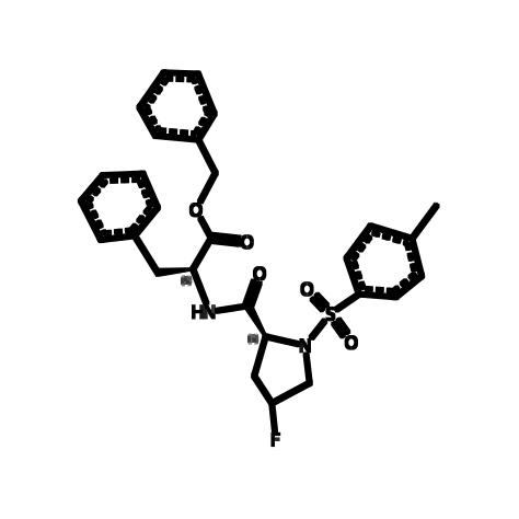 Cc1ccc(S(=O)(=O)N2CC(F)C[C@H]2C(=O)N[C@@H](Cc2ccccc2)C(=O)OCc2ccccc2)cc1